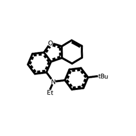 CCN(c1ccc(C(C)(C)C)cc1)c1cccc2oc3c(c12)CCC=C3